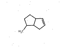 CC1CCC2C=CCC12